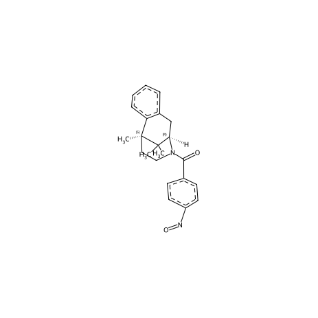 CC1(C)[C@H]2Cc3ccccc3[C@]1(C)CCN2C(=O)c1ccc(N=O)cc1